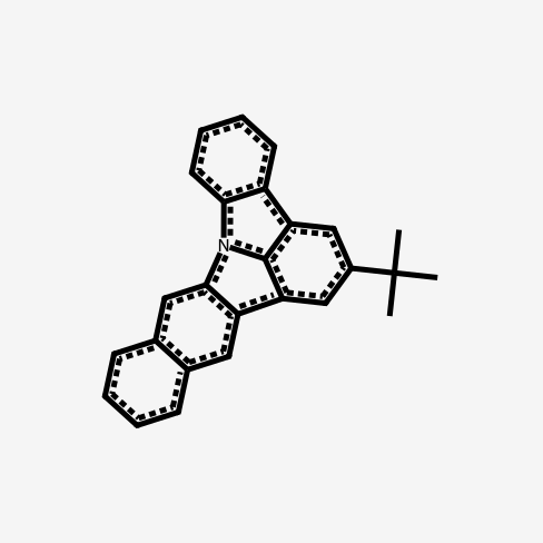 CC(C)(C)c1cc2c3ccccc3n3c4cc5ccccc5cc4c(c1)c23